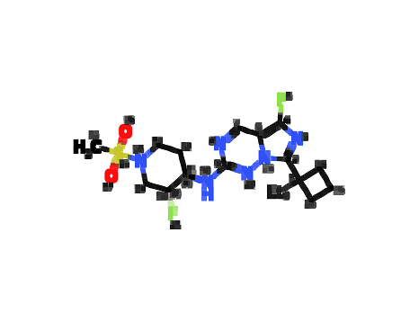 CCC1(c2nc(F)c3cnc(N[C@@H]4CCN(S(C)(=O)=O)C[C@H]4F)nn23)CCC1